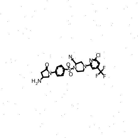 N#CC1CN(c2cc(C(F)(F)F)cc(Cl)n2)CCN1S(=O)(=O)c1ccc(N2CC(N)CC2=O)cc1